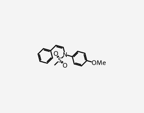 COc1ccc(N(/C=C\c2ccccc2)S(C)(=O)=O)cc1